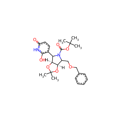 CC(C)(C)OC(=O)N1C(COCc2ccccc2)[C@H]2OC(C)(C)O[C@H]2C1c1ccc(=O)[nH]c1O